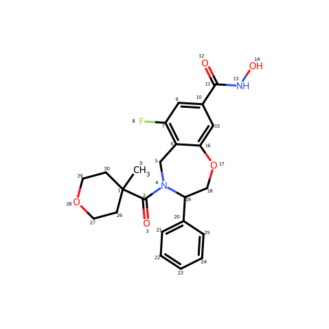 CC1(C(=O)N2Cc3c(F)cc(C(=O)NO)cc3OCC2c2ccccc2)CCOCC1